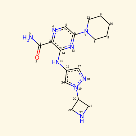 NC(=O)c1ncc(N2CCCCC2)nc1Nc1cnn(C2CNC2)c1